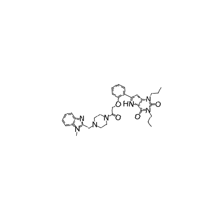 CCCn1c(=O)c2[nH]c(-c3ccccc3OCC(=O)N3CCN(Cc4nc5ccccc5n4C)CC3)cc2n(CCC)c1=O